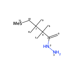 C=C(NN)C(C)(C)C(C)(C)CSC